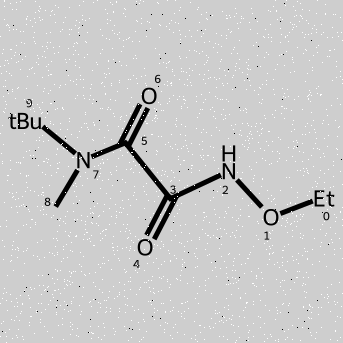 CCONC(=O)C(=O)N(C)C(C)(C)C